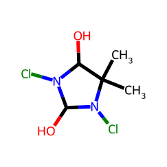 CC1(C)C(O)N(Cl)C(O)N1Cl